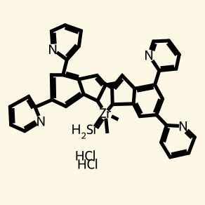 CC1=Cc2c(-c3ccccn3)cc(-c3ccccn3)cc2[CH]1[Zr]([CH3])([CH3])(=[SiH2])[CH]1C(C)=Cc2c(-c3ccccn3)cc(-c3ccccn3)cc21.Cl.Cl